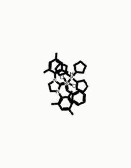 Cc1cc(C)c(N2CCN(c3c(C)cc(C)cc3C)[C]2=[Ru]([Cl])([Cl])(=[CH]c2ccccc2)[PH](C2CCCC2)(C2CCCC2)C2CCCC2)c(C)c1